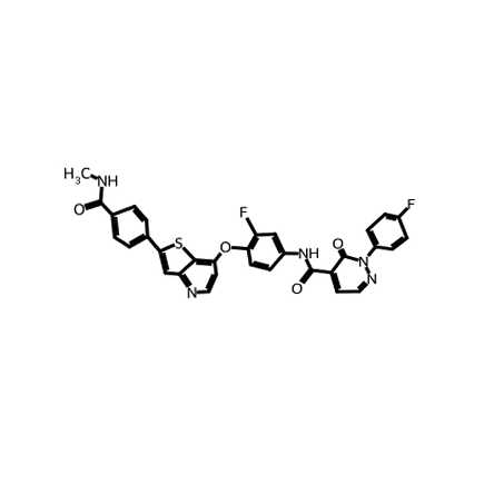 CNC(=O)c1ccc(-c2cc3nccc(Oc4ccc(NC(=O)c5ccnn(-c6ccc(F)cc6)c5=O)cc4F)c3s2)cc1